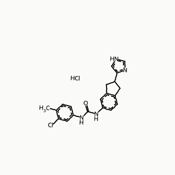 Cc1ccc(NC(=O)Nc2ccc3c(c2)CC(c2c[nH]cn2)C3)cc1Cl.Cl